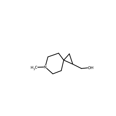 CN1CCC2(CC1)CC2CO